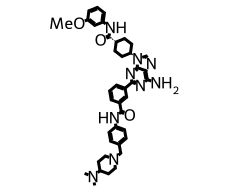 COc1cccc(NC(=O)[C@H]2CC[C@@H](n3cnc4c(N)nc(-c5cccc(C(=O)Nc6ccc(CN7CCC(N(C)C)CC7)cc6)c5)nc43)CC2)c1